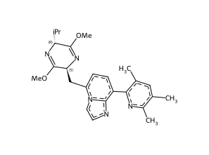 COC1=N[C@H](C(C)C)C(OC)=N[C@H]1Cc1ccc(-c2nc(C)c(C)cc2C)c2nccn12